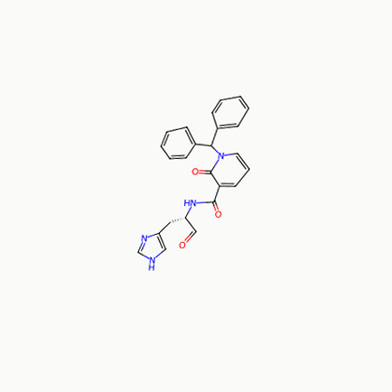 O=C[C@H](Cc1c[nH]cn1)NC(=O)c1cccn(C(c2ccccc2)c2ccccc2)c1=O